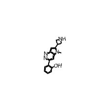 Cn1c(C2CNC2)cc2nnc(-c3ccccc3O)cc21